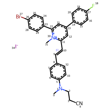 CN(CCC#N)c1ccc(/C=C/c2cc(-c3ccc(F)cc3)cc(-c3ccc(Br)cc3)[n+]2C)cc1.[I-]